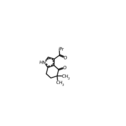 CC(C)C(=O)c1c[nH]c2c1C(=O)C(C)(C)CC2